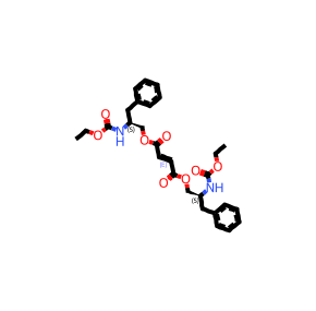 CCOC(=O)N[C@H](COC(=O)/C=C/C(=O)OC[C@H](Cc1ccccc1)NC(=O)OCC)Cc1ccccc1